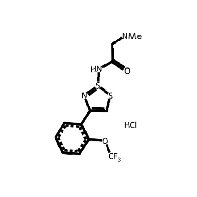 CNCC(=O)NS1=NC(c2ccccc2OC(F)(F)F)=CS1.Cl